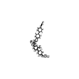 CC#CC1CCC(C2CCC(OCC(F)(F)Oc3ccc(C4CCC(CCCC)CC4)c(F)c3)CC2)CC1